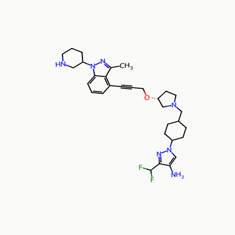 Cc1nn(C2CCCNC2)c2cccc(C#CCO[C@@H]3CCN(CC4CCC(n5cc(N)c(C(F)F)n5)CC4)C3)c12